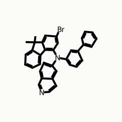 CC1(C)c2ccccc2-c2c(N(c3cccc(-c4ccccc4)c3)c3ccc4cnccc4c3)cc(Br)cc21